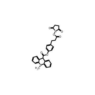 CN1c2ccccc2C(C(=O)Oc2ccc(CCC(=O)ON3C(=O)CCC3=O)cc2)c2ccccc21